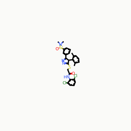 Cc1cccc(C)c1C1C(SCC(=O)Nc2c(Cl)cccc2Cl)=NN=C1c1cccc([S+]([O-])N(C)C)c1